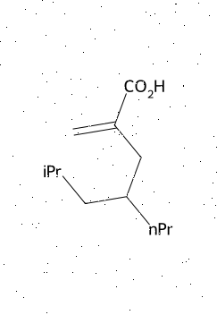 C=C(CC(CCC)CC(C)C)C(=O)O